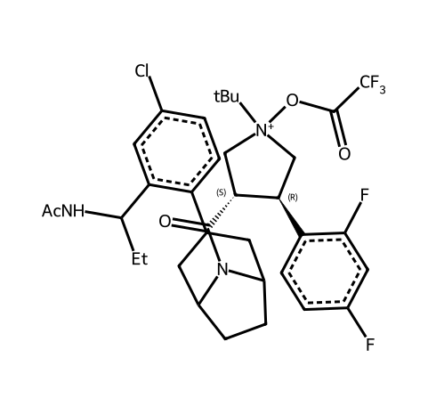 CCC(NC(C)=O)c1cc(Cl)ccc1C1CC2CCC(C1)N2C(=O)[C@@H]1C[N+](OC(=O)C(F)(F)F)(C(C)(C)C)C[C@H]1c1ccc(F)cc1F